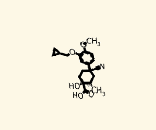 COc1ccc(C2(C#N)CC[C@@](O)(C(=O)O)[C@@H](C)C2)cc1OCC1CC1